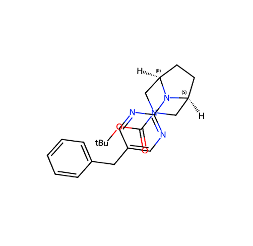 CC(C)(C)OC(=O)N1C[C@H]2CC[C@@H](C1)N2c1ncc(Cc2ccccc2)cn1